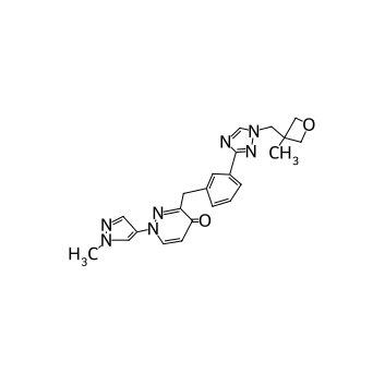 Cn1cc(-n2ccc(=O)c(Cc3cccc(-c4ncn(CC5(C)COC5)n4)c3)n2)cn1